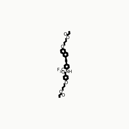 C=CC(=O)OCCCCOc1ccc(C(=O)Nc2ccc(C#Cc3ccc4cc(OCCCCOC(=O)C=C)ccc4c3)cc2C(F)(F)F)cc1